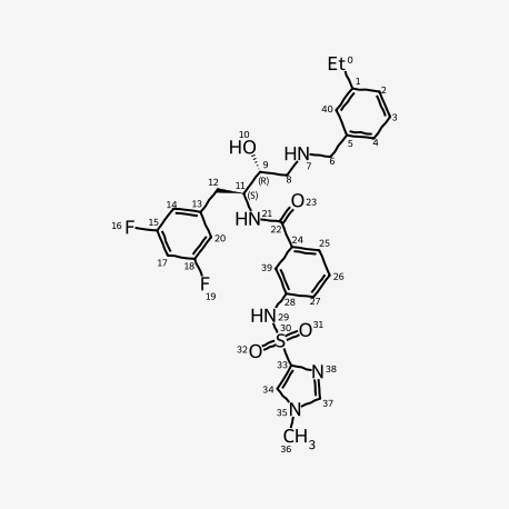 CCc1cccc(CNC[C@@H](O)[C@H](Cc2cc(F)cc(F)c2)NC(=O)c2cccc(NS(=O)(=O)c3cn(C)cn3)c2)c1